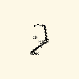 CCCCCCCC/C=C\CCCCCCCC[N+](C)(C)CC(O)COCCCCCCCCCCCCCCCCCC.[Cl-]